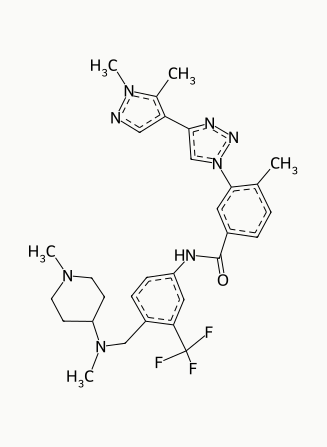 Cc1ccc(C(=O)Nc2ccc(CN(C)C3CCN(C)CC3)c(C(F)(F)F)c2)cc1-n1cc(-c2cnn(C)c2C)nn1